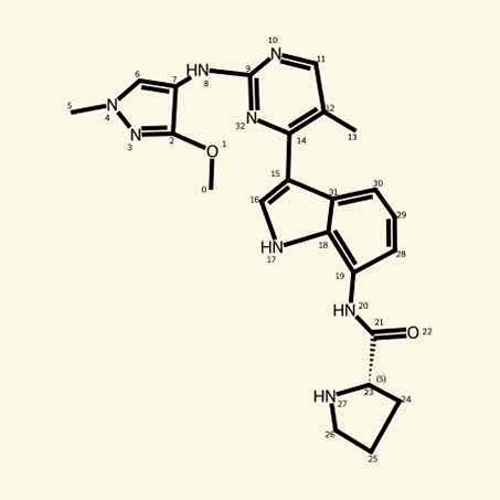 COc1nn(C)cc1Nc1ncc(C)c(-c2c[nH]c3c(NC(=O)[C@@H]4CCCN4)cccc23)n1